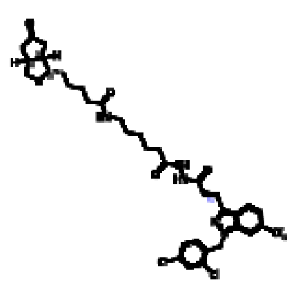 O=C1C[C@H]2CS[C@@H](CCCCC(=O)NCCCCCC(=O)NNC(=O)/C=C/c3nn(Cc4ccc(Cl)cc4Cl)c4cc(C(F)(F)F)ccc34)[C@H]2C1